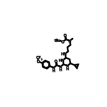 CN(CCCNC1CC(C2CC2)NC(NC(=O)Nc2ccc(OC(F)(F)F)cc2)N1)C(=O)OC(C)(C)C